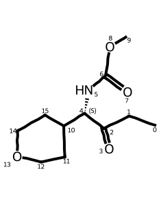 CCC(=O)[C@@H](NC(=O)OC)C1CCOCC1